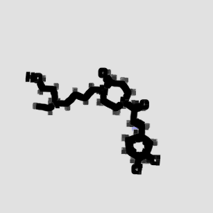 CCN(CCO)CCCCN1CCN(C(=O)/C=C/c2ccc(Cl)c(Cl)c2)CCC1=O